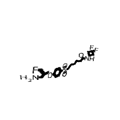 NC/C(=C\F)COc1ccc(S(=O)(=O)CCCCCC(=O)NC2CC(F)(F)C2)cc1